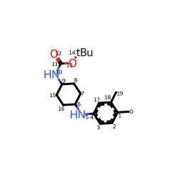 Cc1ccc(NC2CCC(NC(=O)OC(C)(C)C)CC2)cc1C